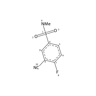 CNS(=O)(=O)c1ccc(F)c(C#N)c1